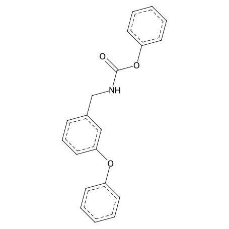 O=C(NCc1cccc(Oc2ccccc2)c1)Oc1ccccc1